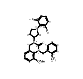 COc1cccc2c1N(Cc1ccccc1C(F)(F)F)C(=O)N(C1CCN(c3c(F)cccc3F)C1)C2